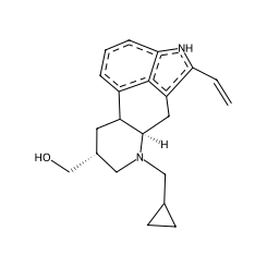 C=Cc1[nH]c2cccc3c2c1C[C@@H]1C3C[C@@H](CO)CN1CC1CC1